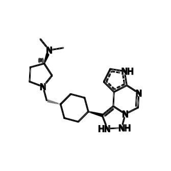 CN(C)[C@@H]1CCN(C[C@H]2CC[C@H](C3=C4c5cc[nH]c5N=CN4NN3)CC2)C1